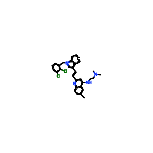 Cc1ccc2nc(C=Cc3cn(Cc4cccc(Cl)c4Cl)c4ccccc34)cc(NCCN(C)C)c2c1